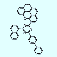 c1ccc(-c2ccc(-c3nc(-c4ccc5ccc6ccc7cccc8c7c6c5c4O8)nc(-c4cccc5ccccc45)n3)cc2)cc1